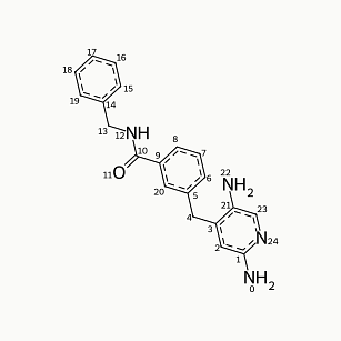 Nc1cc(Cc2cccc(C(=O)NCc3ccccc3)c2)c(N)cn1